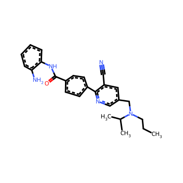 CCCN(Cc1cnc(-c2ccc(C(=O)Nc3ccccc3N)cc2)c(C#N)c1)C(C)C